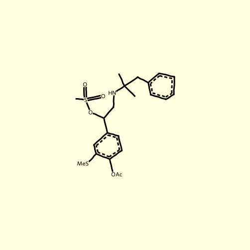 CSc1cc(C(CNC(C)(C)Cc2ccccc2)OS(C)(=O)=O)ccc1OC(C)=O